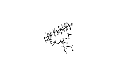 CCCC[N+](CCCC)(CCCC)CCCC.O=S(=O)(O)C(F)(F)C(F)(F)C(F)(F)C(F)(F)C(F)(F)C(F)(F)C(F)(F)C(F)(F)F